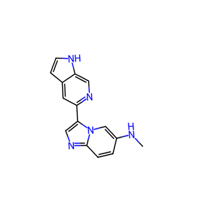 CNc1ccc2ncc(-c3cc4cc[nH]c4cn3)n2c1